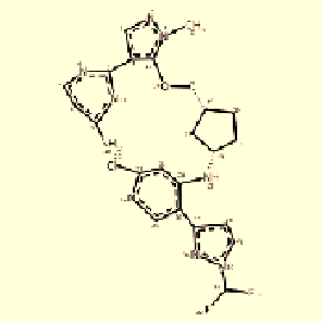 Cn1ncc(-c2nccc(N)n2)c1OC[C@@H]1CC[C@H](Nc2cc(Cl)ncc2-c2ccn(C(F)F)n2)C1